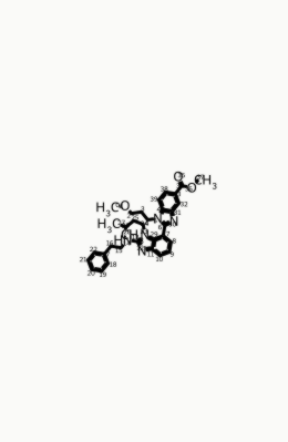 COCCCn1c(-c2cccc3nc(NCCc4ccccc4)n(CCC(C)C)c23)nc2cc(C(=O)OC)ccc21